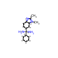 Cc1nc2ccc(C(N)(N)c3ccccc3)cc2n1C